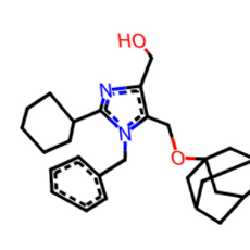 OCc1nc(C2CCCCC2)n(Cc2ccccc2)c1COC12CC3CC(CC(C3)C1)C2